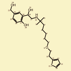 CC(C)(CCCCCOCCc1cccs1)NCC(O)c1cc(CO)ccc1O